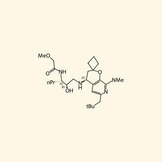 CCC[C@H](NC(=O)COC)[C@H](O)CN[C@H]1CC2(CCC2)Oc2c1cc(CC(C)(C)C)nc2NC